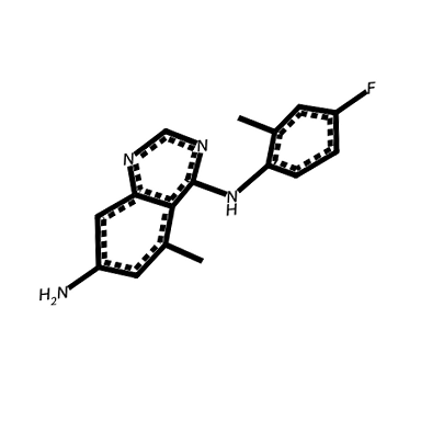 Cc1cc(F)ccc1Nc1ncnc2cc(N)cc(C)c12